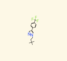 CC(C)(C)CCn1cc(-c2ccc(C(F)(F)F)cc2)cn1